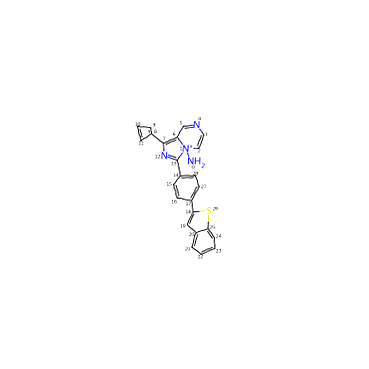 N[N+]12C=CN=CC1=C(C1=CC=C1)N=C2c1ccc(-c2cc3ccccc3s2)cc1